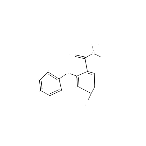 CON(C)C(=O)C1=CCC(F)C=C1Nc1ccccc1